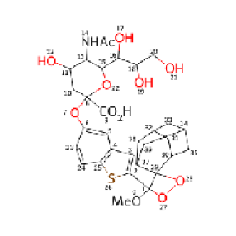 COC1(c2cc3cc(OC4(C(=O)O)CC(O)C(NC(C)=O)C(C(O)C(O)CO)O4)ccc3s2)OOC12C1CC3CC(C1)CC2C3